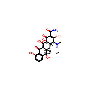 CN(C)[C@@H]1C(O)=C(C(N)=O)C(=O)[C@@]2(O)C(O)=C3C(=O)c4c(O)cccc4[C@@](C)(O)[C@H]3C[C@@H]12.[Zn]